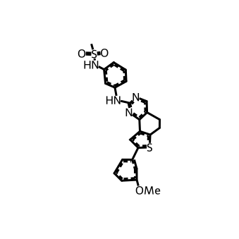 COc1cccc(-c2cc3c(s2)CCc2cnc(Nc4cccc(NS(C)(=O)=O)c4)nc2-3)c1